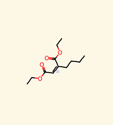 CCCC/C(=C/C(=O)OCC)C(=O)OCC